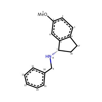 COc1ccc2c(c1)[C@@H](NCc1ccccc1)CC2